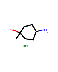 CC1(O)CCC(N)CC1.Cl